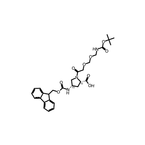 CC(C)(C)OC(=O)NCOCOCC(=O)N1C[C@@H](NC(=O)OCC2c3ccccc3-c3ccccc32)C[C@H]1C(=O)O